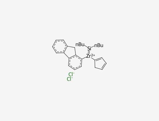 CCCC[Si](CCCC)=[Zr+2]([C]1=CC=CC1)[c]1cccc2c1Cc1ccccc1-2.[Cl-].[Cl-]